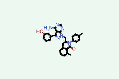 Cc1ccc(-n2c(Cn3nc(-c4cccc(O)c4)c4c(N)ncnc43)cc3cccc(C)c3c2=O)cc1